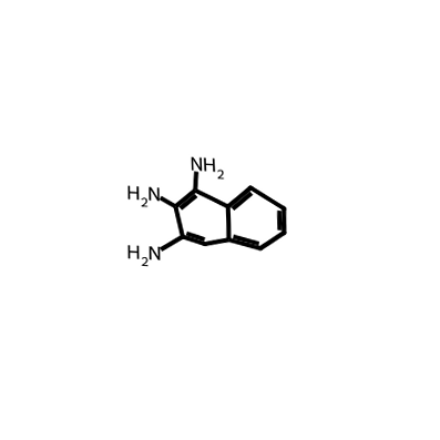 Nc1cc2ccccc2c(N)c1N